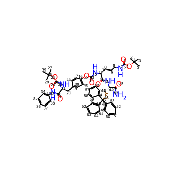 CC(C)(C)OC(=O)NCCC[C@H](NC(=O)Oc1ccc(C[C@H](NC(=O)OC(C)(C)C)C(=O)Nc2ccccc2)cc1)C(=O)N[C@@H](CSC(c1ccccc1)(c1ccccc1)c1ccccc1)C(N)=O